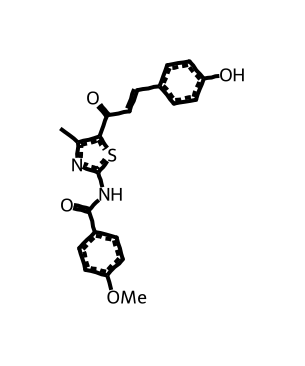 COc1ccc(C(=O)Nc2nc(C)c(C(=O)C=Cc3ccc(O)cc3)s2)cc1